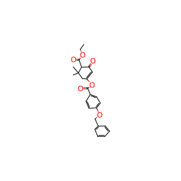 CCOC(=O)C1C(=O)C=C(OC(=O)c2ccc(OCc3ccccc3)cc2)CC1(C)C